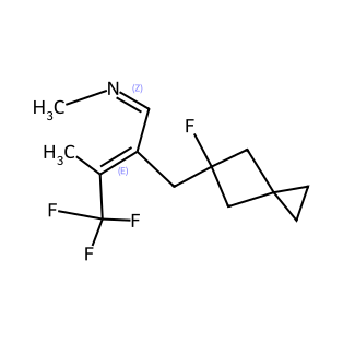 C/N=C\C(CC1(F)CC2(CC2)C1)=C(/C)C(F)(F)F